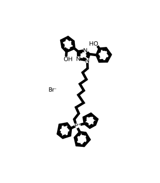 Oc1ccccc1-c1nc(-c2ccccc2O)n(CCCCCCCCCC[P+](c2ccccc2)(c2ccccc2)c2ccccc2)n1.[Br-]